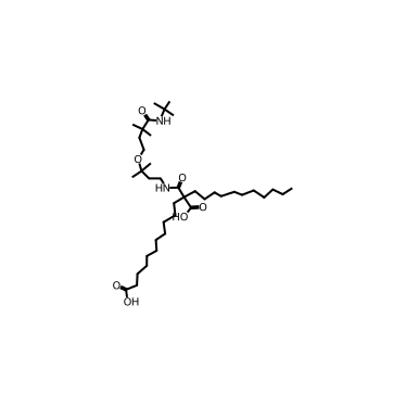 CCCCCCCCCCCC(CCCCCCCCCCC(=O)O)(C(=O)O)C(=O)NCCC(C)(C)OCCC(C)(C)C(=O)NC(C)(C)C